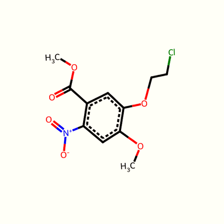 COC(=O)c1cc(OCCCl)c(OC)cc1[N+](=O)[O-]